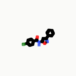 O=C(Nc1cc(-c2ccccc2)no1)c1ccc(Cl)cc1